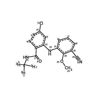 [2H]C([2H])([2H])NC(=O)c1nnc(Cl)cc1Nc1cccc(C#N)c1OC